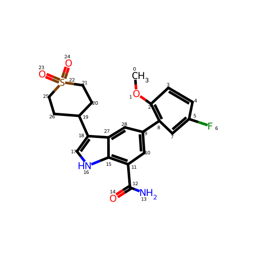 COc1ccc(F)cc1-c1cc(C(N)=O)c2[nH]cc(C3CCS(=O)(=O)CC3)c2c1